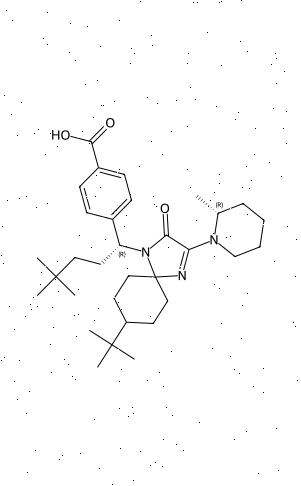 C[C@@H]1CCCCN1C1=NC2(CCC(C(C)(C)C)CC2)N([C@H](CCC(C)(C)C)c2ccc(C(=O)O)cc2)C1=O